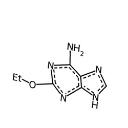 CCOc1nc(N)c2nc[nH]c2n1